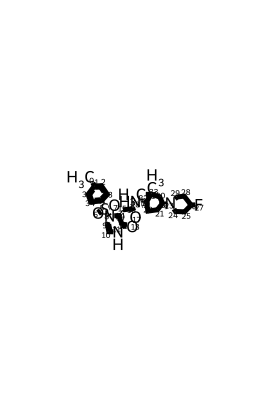 Cc1ccc(S(=O)(=O)N2C=CNC(=O)[C@H]2CC(=O)N[C@H]2CC[C@H](N3CCC(F)CC3)CC2(C)C)cc1